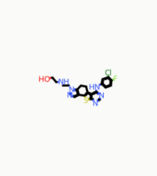 OCCNCCn1ncc2c1CCc1c-2sc2ncnc(Nc3ccc(F)c(Cl)c3)c12